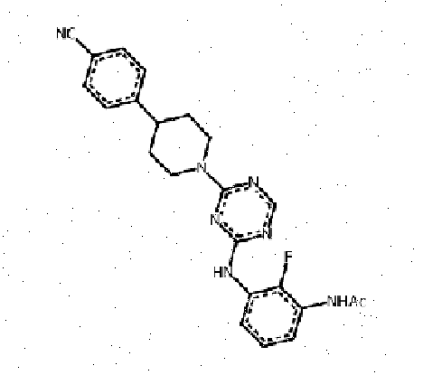 CC(=O)Nc1cccc(Nc2ncnc(N3CCC(c4ccc(C#N)cc4)CC3)n2)c1F